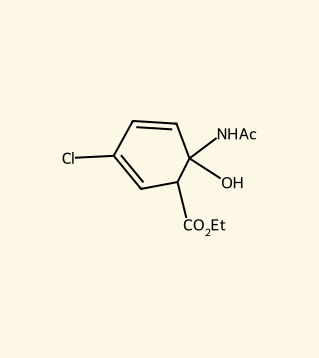 CCOC(=O)C1C=C(Cl)C=CC1(O)NC(C)=O